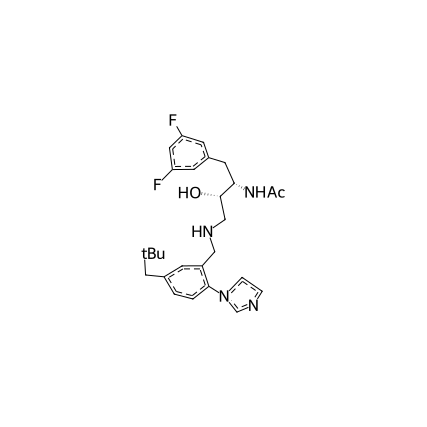 CC(=O)N[C@@H](Cc1cc(F)cc(F)c1)[C@@H](O)CNCc1cc(CC(C)(C)C)ccc1-n1ccnc1